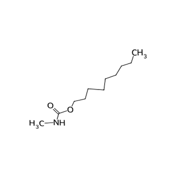 CCCCCCCCCOC(=O)NC